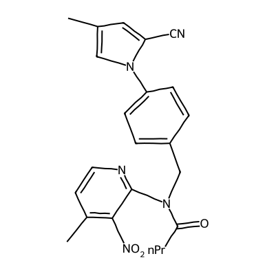 CCCC(=O)N(Cc1ccc(-n2cc(C)cc2C#N)cc1)c1nccc(C)c1[N+](=O)[O-]